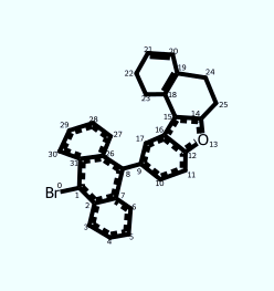 Brc1c2ccccc2c(-c2ccc3oc4c(c3c2)C2=C(C=CCC2)CC4)c2ccccc12